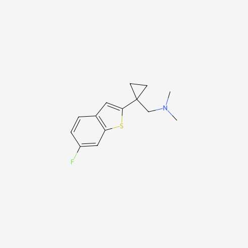 CN(C)CC1(c2cc3ccc(F)cc3s2)CC1